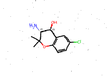 CC1(C)Oc2ccc(Cl)cc2[C@H](O)[C@H]1N